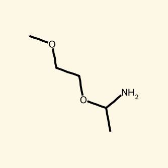 COCCOC(C)N